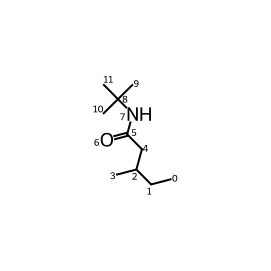 CCC(C)CC(=O)NC(C)(C)C